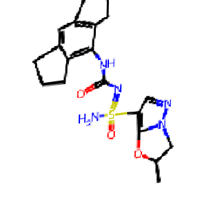 CC1Cn2ncc(S(N)(=O)=NC(=O)Nc3c4c(cc5c3CCC5)CCC4)c2O1